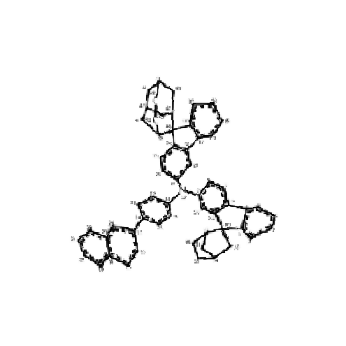 c1ccc2c(c1)-c1ccc(N(c3ccc(-c4ccc5ccccc5c4)cc3)c3ccc4c(c3)-c3ccccc3C43C4CCC5CC(C4)CC3C5)cc1C21CC2CCC1C2